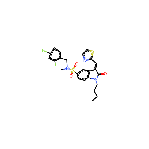 CCCCN1C(=O)/C(=C/c2nccs2)c2cc(S(=O)(=O)N(C)Cc3ccc(F)cc3F)ccc21